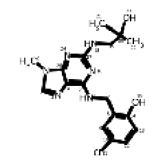 Cn1cnc2c(NCc3cc(Cl)ccc3O)nc(NCC(C)(C)O)nc21